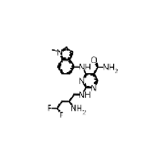 Cn1ccc2c(Nc3nc(NCC(N)CC(F)F)ncc3C(N)=O)cccc21